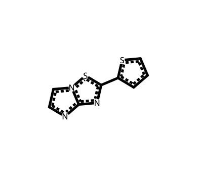 c1csc(-c2nc3nccn3s2)c1